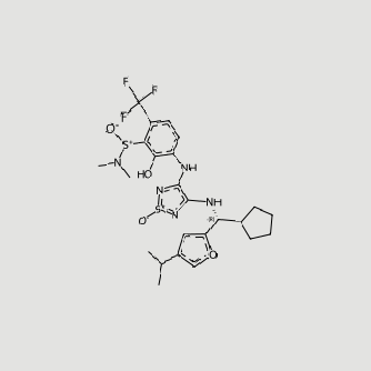 CC(C)c1coc([C@H](Nc2n[s+]([O-])nc2Nc2ccc(C(F)(F)F)c([S+]([O-])N(C)C)c2O)C2CCCC2)c1